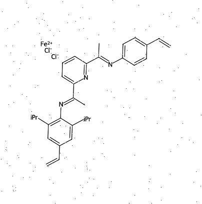 C=Cc1ccc(/N=C(\C)c2cccc(/C(C)=N/c3c(C(C)C)cc(C=C)cc3C(C)C)n2)cc1.[Cl-].[Cl-].[Fe+2]